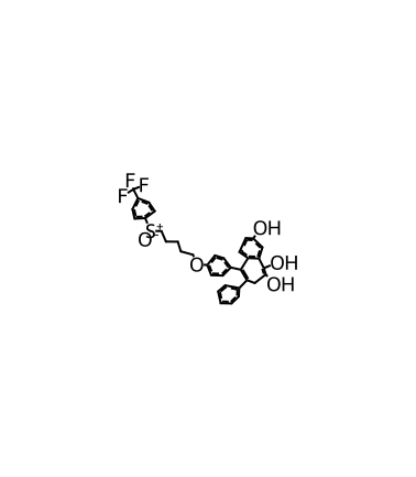 [O-][S+](CCCCCOc1ccc(C2=C(c3ccccc3)CC(O)=C(O)c3cc(O)ccc32)cc1)c1ccc(C(F)(F)F)cc1